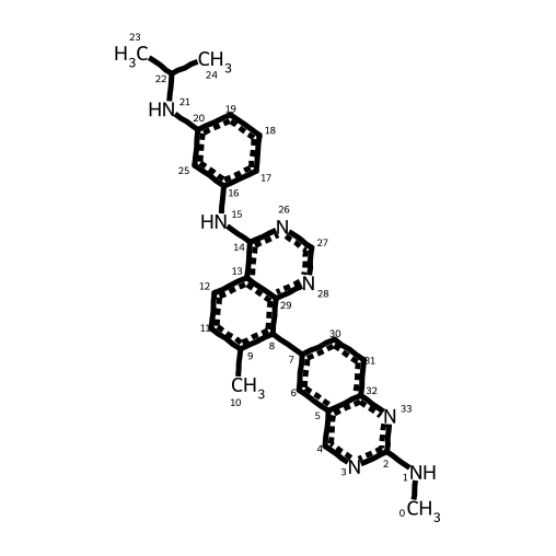 CNc1ncc2cc(-c3c(C)ccc4c(Nc5cccc(NC(C)C)c5)ncnc34)ccc2n1